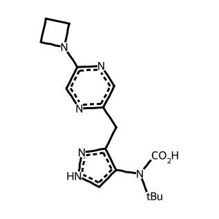 CC(C)(C)N(C(=O)O)c1c[nH]nc1Cc1cnc(N2CCC2)cn1